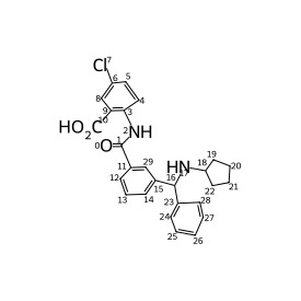 O=C(Nc1ccc(Cl)cc1C(=O)O)c1cccc(C(NC2CCCC2)c2ccccc2)c1